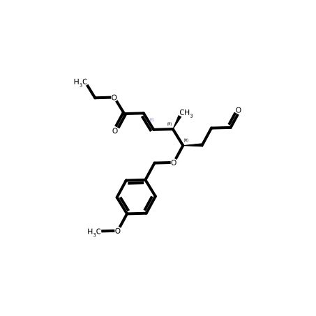 CCOC(=O)/C=C/[C@@H](C)[C@@H](CCC=O)OCc1ccc(OC)cc1